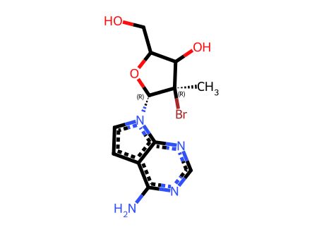 C[C@@]1(Br)C(O)C(CO)O[C@H]1n1ccc2c(N)ncnc21